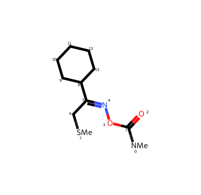 CNC(=O)ON=C(CSC)C1CCCCC1